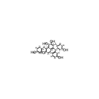 Oc1ccc(Cc2c(O)c(O)c3c(Cc4ccc(O)cc4)c(O)ccc3c2Cc2cccc(O)c2)cc1